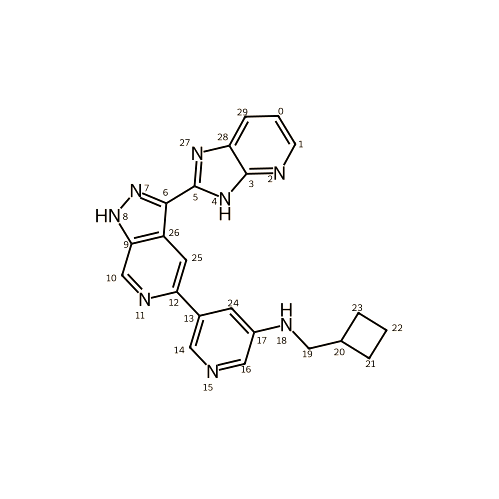 c1cnc2[nH]c(-c3n[nH]c4cnc(-c5cncc(NCC6CCC6)c5)cc34)nc2c1